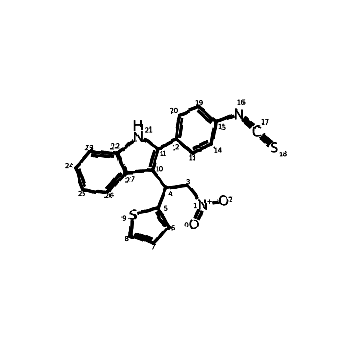 O=[N+]([O-])CC(c1cccs1)c1c(-c2ccc(N=C=S)cc2)[nH]c2ccccc12